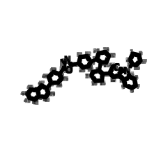 c1ccc(-n2c3ccccc3c3cc(-c4ccccc4-c4ccccc4-c4ccc(-c5nnc(-c6ccc(-c7ccc8ccccc8c7)cc6)o5)cc4)ccc32)cc1